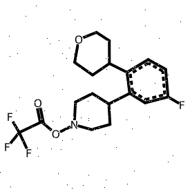 O=C(ON1CCC(c2cc(F)ccc2C2CCOCC2)CC1)C(F)(F)F